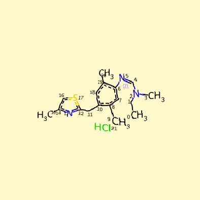 CCN(C)/C=N\c1cc(C)c(Cc2nc(C)cs2)cc1C.Cl